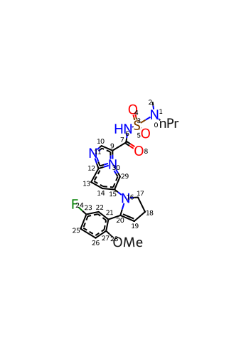 CCCN(C)S(=O)(=O)NC(=O)c1cnc2ccc(N3CCC=C3c3cc(F)ccc3OC)cn12